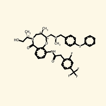 C[C@@H]1CN([C@@H](C)CO)C(=O)c2cccc(NC(=O)Cc3ccc(C(F)(F)F)cc3F)c2O[C@@H]1CN(C)Cc1ccc(Sc2ccccc2)cc1